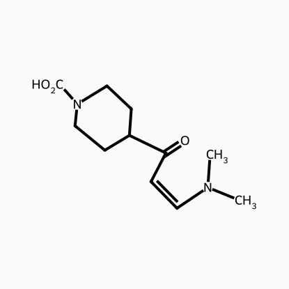 CN(C)/C=C\C(=O)C1CCN(C(=O)O)CC1